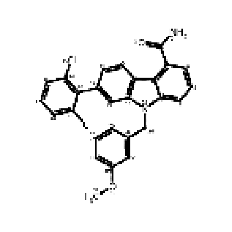 NC(=O)c1cccc2c1c1[c]cc(-c3c(Cl)cccc3Cl)cc1n2Cc1cccc(OC(F)(F)F)c1